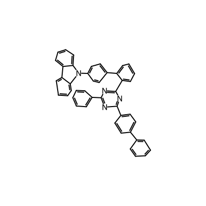 c1ccc(-c2ccc(-c3nc(-c4ccccc4)nc(-c4ccccc4-c4ccc(-n5c6ccccc6c6ccccc65)cc4)n3)cc2)cc1